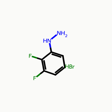 Br.NNc1cccc(F)c1F